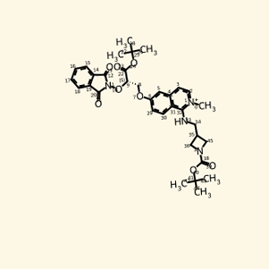 C[n+]1ccc2cc(OC[C@H](ON3C(=O)c4ccccc4C3=O)C(=O)OC(C)(C)C)ccc2c1NCC1CN(C(=O)OC(C)(C)C)C1